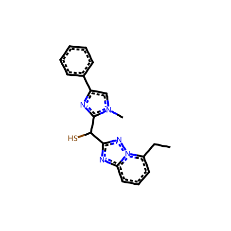 CCc1cccc2nc(C(S)c3nc(-c4ccccc4)cn3C)nn12